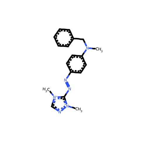 CN(Cc1ccccc1)c1ccc(/N=N/c2n(C)nc[n+]2C)cc1